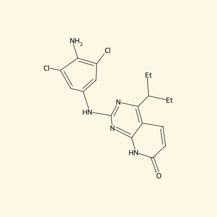 CCC(CC)c1nc(Nc2cc(Cl)c(N)c(Cl)c2)nc2[nH]c(=O)ccc12